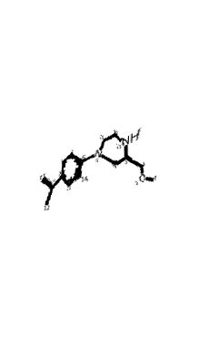 COCC1CN(c2ccc(C(C)C)cc2)CCN1